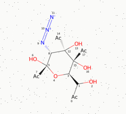 CC(=O)C(O)[C@H]1O[C@@](O)(C(C)=O)[C@H](N=[N+]=[N-])[C@](O)(C(C)=O)[C@@]1(O)C(C)=O